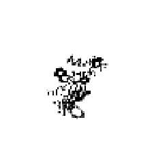 CCCCN(CCCC)C(=O)c1cc(C)n(-c2ccc(NC(=O)Cc3cc(F)ccc3OC)cc2C(=O)N2Cc3ccccc3C[C@H]2CO)n1